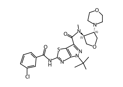 CN(C(=O)c1nn(C(C)(C)C)c2nc(NC(=O)c3cccc(Cl)c3)sc12)[C@@H]1COC[C@H]1N1CCOCC1